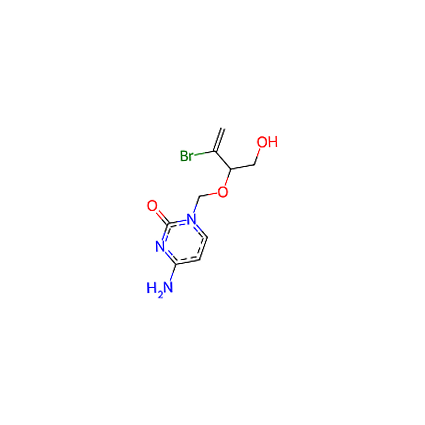 C=C(Br)C(CO)OCn1ccc(N)nc1=O